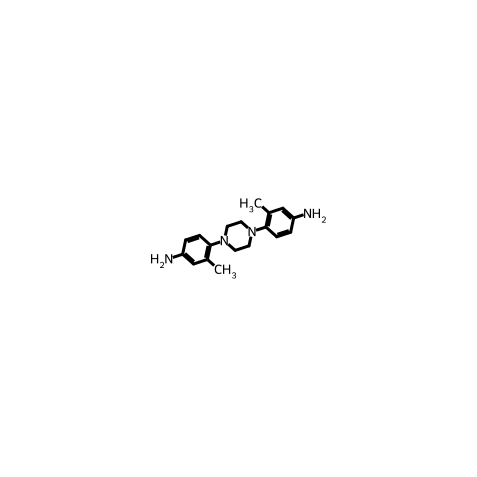 Cc1cc(N)ccc1N1CCN(c2ccc(N)cc2C)CC1